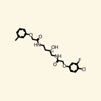 Cc1cccc(OCC(=O)NCC[C@H](O)CNC(=O)COc2ccc(Cl)c(F)c2)c1